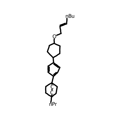 CCCC/C=C/COC1CCC(c2ccc(C34CCC(CCC)(CC3)CC4)cc2)CC1